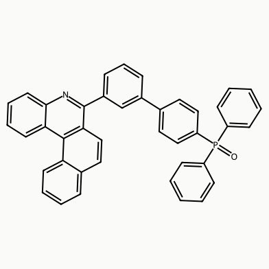 O=P(c1ccccc1)(c1ccccc1)c1ccc(-c2cccc(-c3nc4ccccc4c4c3ccc3ccccc34)c2)cc1